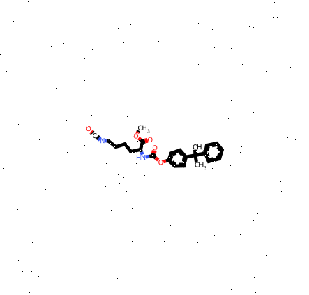 COC(=O)C(CCCCN=C=O)NC(=O)Oc1ccc(C(C)(C)c2ccccc2)cc1